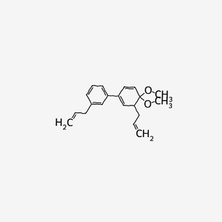 C=CCc1cccc(C2=CC(CC=C)C(OC)(OC)C=C2)c1